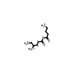 CCCCC(=O)OC(=O)CCC(C)CC